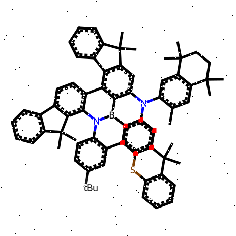 Cc1cc2c(cc1N1c3cc4c(cc3B3c5c1cc1c(c5-c5ccc6c(c5N3c3ccc(C(C)(C)C)cc3-c3ccccc3)C(C)(C)c3ccccc3-6)-c3ccccc3C1(C)C)Sc1ccccc1C4(C)C)C(C)(C)CCC2(C)C